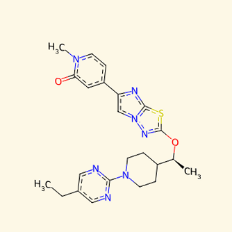 CCc1cnc(N2CCC([C@H](C)Oc3nn4cc(-c5ccn(C)c(=O)c5)nc4s3)CC2)nc1